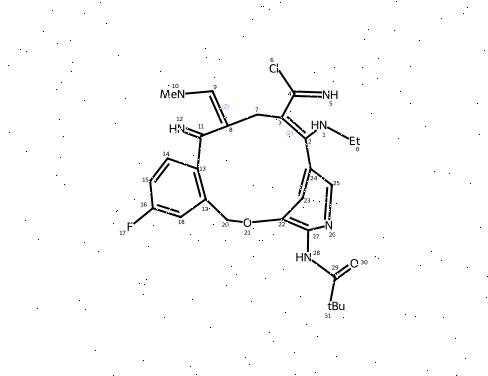 CCN/C1=C(\C(=N)Cl)C/C(=C/NC)C(=N)c2ccc(F)cc2COc2cc1cnc2NC(=O)C(C)(C)C